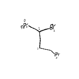 CC[CH]C(Br)CC(C)C